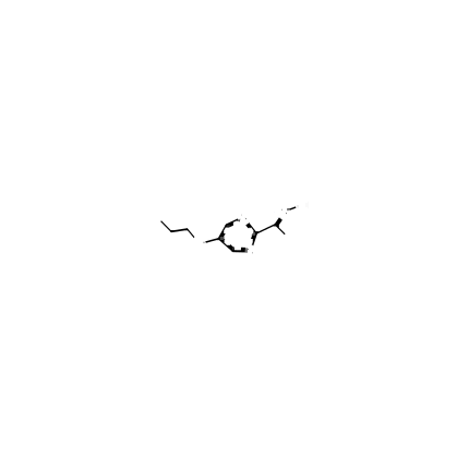 OCCOc1cnc(/C(Cl)=N/O)nc1